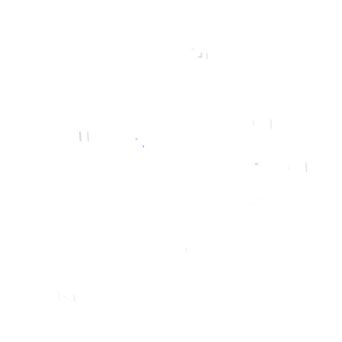 Cc1cc(C(C)(C)C)ccc1-c1cc([Si](C)(C)C)c(CC(C)(C)C)c[n+]1C